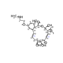 CNCCOc1cc(O)c2c(c1)/C=C/C[C@H](O)[C@H](O)C(=O)/C=C\[C@H](C)[C@H](C)OC2=O